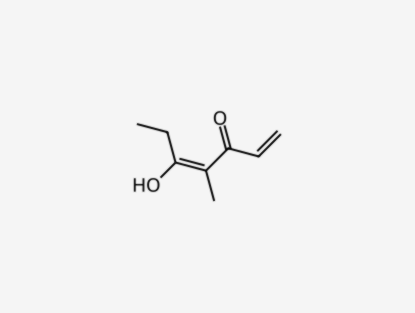 C=CC(=O)/C(C)=C(/O)CC